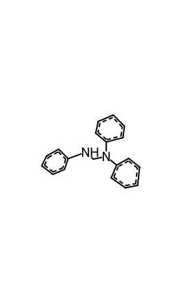 c1ccc(NCN(c2ccccc2)c2ccccc2)cc1